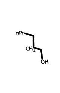 C.CCCCCCO